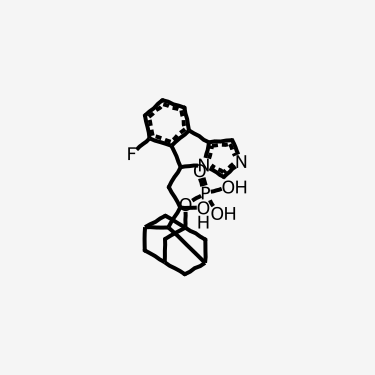 O=P(O)(O)OC12CC3CC(C1)C(C(O)CC1c4c(F)cccc4-c4cncn41)C(C3)C2